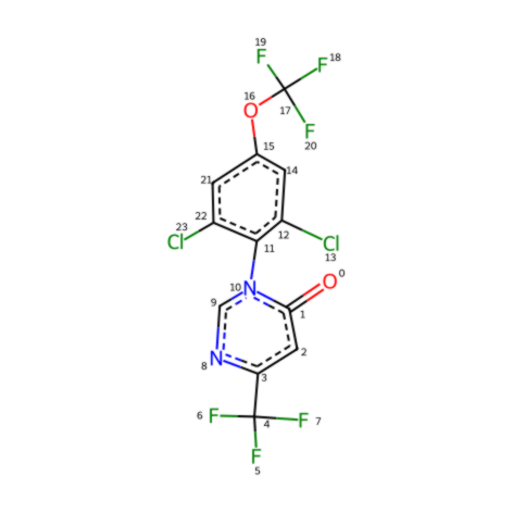 O=c1cc(C(F)(F)F)ncn1-c1c(Cl)cc(OC(F)(F)F)cc1Cl